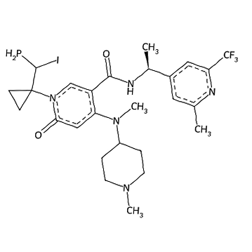 Cc1cc([C@H](C)NC(=O)c2cn(C3(C(P)I)CC3)c(=O)cc2N(C)C2CCN(C)CC2)cc(C(F)(F)F)n1